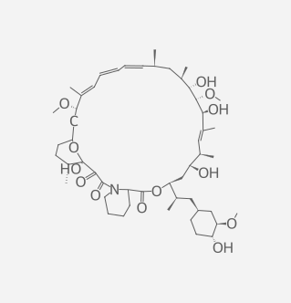 CO[C@H]1[C@@H](O)[C@H](C)C[C@H](C)/C=C/C=C/C=C(\C)[C@@H](OC)CC2CC[C@@H](C)[C@@](O)(O2)C(=O)C(=O)N2CCCCC2C(=O)O[C@H]([C@H](C)C[C@@H]2CC[C@@H](O)[C@H](OC)C2)C[C@H](O)[C@H](C)/C=C(\C)[C@@H]1O